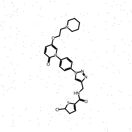 O=C(NCc1cn(-c2ccc(-n3cc(OCCN4CCCCC4)ccc3=O)cc2)nn1)C1=CCC(Cl)S1